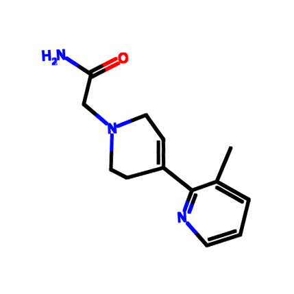 Cc1cccnc1C1=CCN(CC(N)=O)CC1